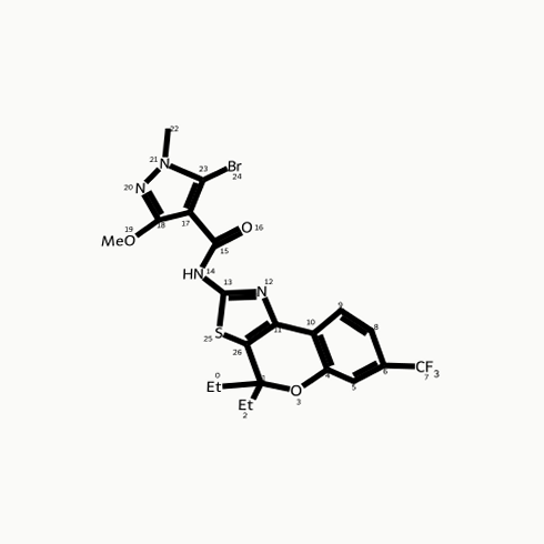 CCC1(CC)Oc2cc(C(F)(F)F)ccc2-c2nc(NC(=O)c3c(OC)nn(C)c3Br)sc21